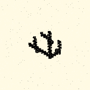 CCCCCCCCN(C)C(=O)CCCCCN(C)C(CCCCCCCCC(=O)OCC(CCCC)CCCCCC)CCCCCCCCC(=O)OCC(CCCC)CCCCCC